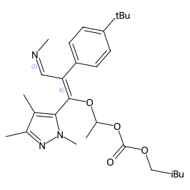 CCC(C)COC(=O)OC(C)O/C(=C(/C=N\C)c1ccc(C(C)(C)C)cc1)c1c(C)c(C)nn1C